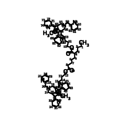 CCCCC(CCCCC(=O)OCCCCCC12CN(Cc3ccccn3)CC(C1=O)C(c1ccccn1)N(C)C2c1ccccn1)C(=O)OCCCCCC12CN(Cc3ccccn3)CC(C1=O)C(c1ccccn1)N(C)C2c1ccccn1